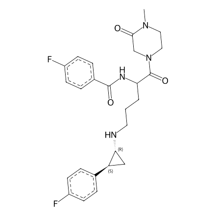 CN1CCN(C(=O)C(CCCN[C@@H]2C[C@H]2c2ccc(F)cc2)NC(=O)c2ccc(F)cc2)CC1=O